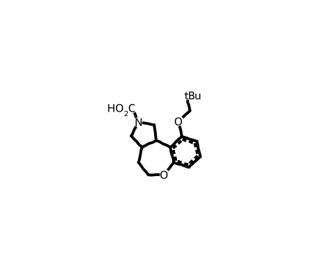 CC(C)(C)COc1cccc2c1C1CN(C(=O)O)CC1CCO2